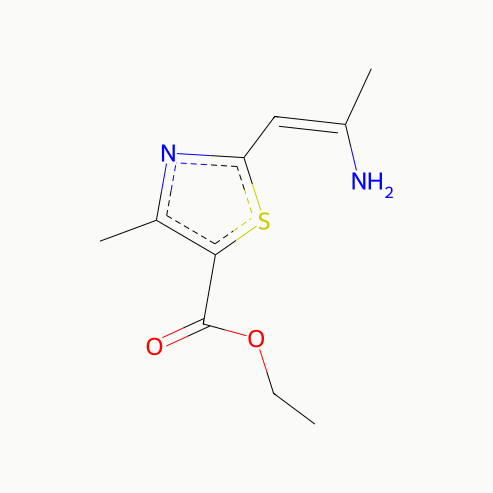 CCOC(=O)c1sc(C=C(C)N)nc1C